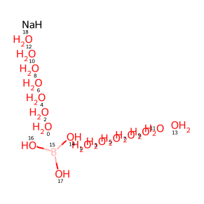 O.O.O.O.O.O.O.O.O.O.O.O.O.O.OB(O)O.[NaH]